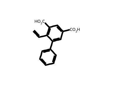 C=Cc1c(C(=O)O)cc(C(=O)O)cc1-c1ccccc1